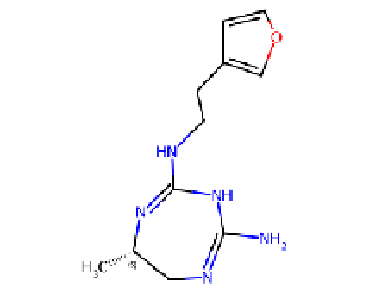 C[C@H]1CN=C(N)NC(NCCc2ccoc2)=N1